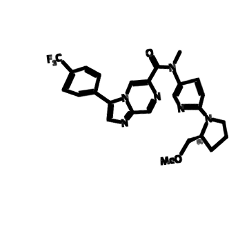 COC[C@@H]1CCCN1c1ccc(N(C)C(=O)c2cn3c(-c4ccc(C(F)(F)F)cc4)cnc3cn2)cn1